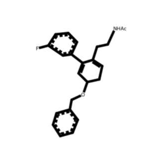 CC(=O)NCCC1=CCC(OCc2ccccc2)C=C1c1cccc(F)c1